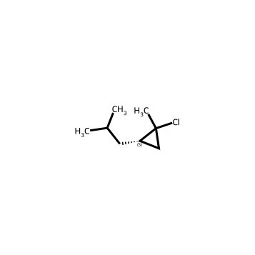 CC(C)C[C@H]1CC1(C)Cl